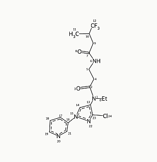 CCN(C(=O)CCNC(=O)CC(C)C(F)(F)F)c1cn(-c2cccnc2)nc1Cl